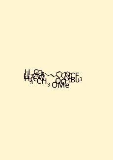 COCOc1c(C=CCCB2OC(C)(C)C(C)(C)O2)ccc(COCC(F)(F)F)c1C(=O)OC(C)(C)C